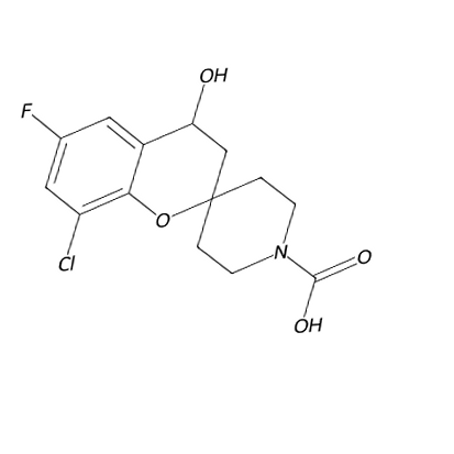 O=C(O)N1CCC2(CC1)CC(O)c1cc(F)cc(Cl)c1O2